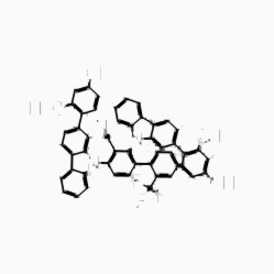 Cc1ccc(-c2ccc3c4ccccc4n(-c4ccc(-c5ccccc5C(F)(F)F)c(-n5c6ccccc6c6ccc(-c7ccc(C)cc7C)cc65)c4C#N)c3c2)c(C)c1